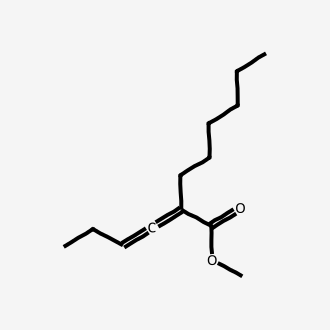 CCC=C=C(CCCCCC)C(=O)OC